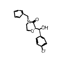 O=C1[C@H]([C@@H](O)c2ccc(Cl)cc2)OCCN1Cc1ccccc1